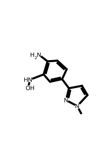 Cn1ccc(-c2ccc(N)c(NO)c2)n1